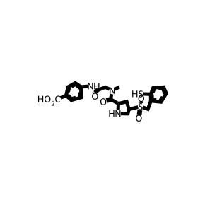 CN(CC(=O)Nc1ccc(C(=O)O)cc1)C(=O)C1CC(S(=O)(=O)Cc2ccccc2S)CN1